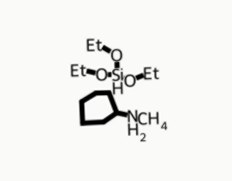 C.CCO[SiH](OCC)OCC.NC1CCCCC1